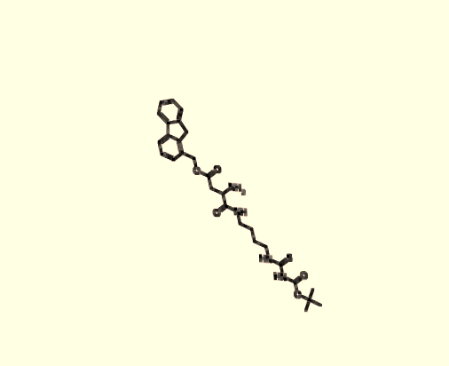 CC(C)(C)OC(=O)NC(=S)NCCCCNC(=O)C(N)CC(=O)OCc1cccc2c1Cc1ccccc1-2